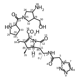 C[C@@H](NC(=O)Cn1cnnn1)[C@H]1C(=O)N2C(C(=O)O)=C(S[C@@H]3CNC(C(=O)N4CC(N)C(CO)C4)C3)[C@H](C)[C@H]12